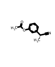 CC(=O)Oc1cccc([C@@H](C)C#N)c1